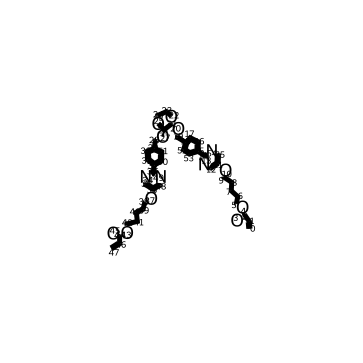 C=CC(=O)OCCCCCOc1cnc(-c2ccc(CO[C@H]3OCCO[C@@H]3OCc3ccc(-c4ncc(OCCCCCOC(=O)C=C)cn4)cc3)cc2)nc1